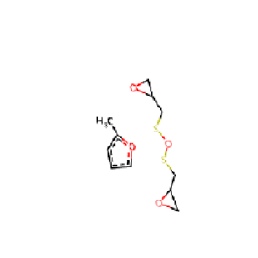 C1OC1CSOSCC1CO1.Cc1ccco1